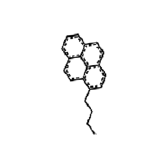 [CH2]CCCc1ccc2ccc3cccc4ccc1c2c34